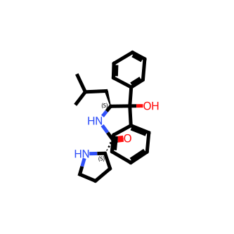 CC(C)C[C@H](NC(=O)[C@@H]1CCCN1)C(O)(c1ccccc1)c1ccccc1